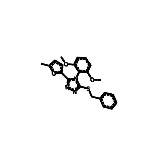 COc1cccc(OC)c1-n1c(SCc2ccccc2)nnc1-c1ccc(C)o1